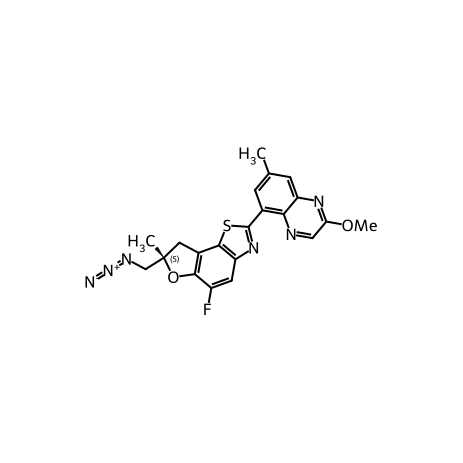 COc1cnc2c(-c3nc4cc(F)c5c(c4s3)C[C@@](C)(CN=[N+]=[N-])O5)cc(C)cc2n1